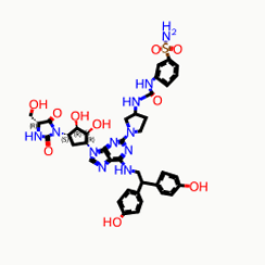 NS(=O)(=O)c1cccc(NC(=O)NC2CCN(c3nc(NCC(c4ccc(O)cc4)c4ccc(O)cc4)c4ncn([C@@H]5C[C@H](N6C(=O)N[C@H](CO)C6=O)[C@@H](O)[C@H]5O)c4n3)C2)c1